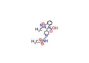 CCS(=O)(=O)NCCN1CCC(CN(C(=O)O)c2ccccc2-c2nc(C)no2)CC1